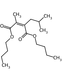 CCCCOC(=O)C(C)=C(CC(C)C)C(=O)OCCCC